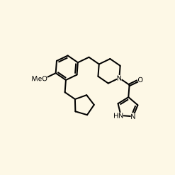 COc1ccc(CC2CCN(C(=O)c3cn[nH]c3)CC2)cc1CC1CCCC1